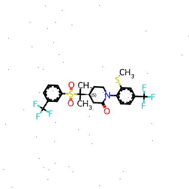 CSc1cc(C(F)(F)F)ccc1N1CC[C@H](C(C)(C)S(=O)(=O)c2cccc(C(F)(F)F)c2)CC1=O